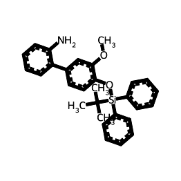 COc1cc(-c2ccccc2N)ccc1O[Si](c1ccccc1)(c1ccccc1)C(C)(C)C